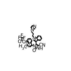 Cn1cc(-n2c(-c3cn(CCCn4ccnc4)c4ccccc34)c(C#N)[nH]c2=O)c2ccccc21.O=C(O)C(F)(F)F